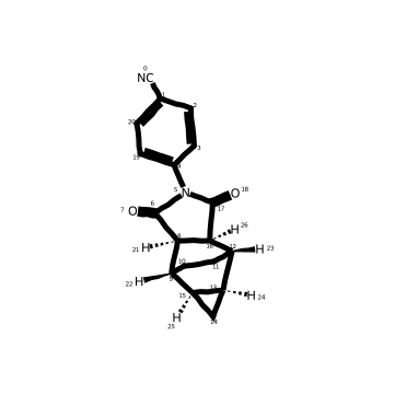 N#Cc1ccc(N2C(=O)[C@@H]3[C@@H]4CC[C@@H]([C@H]5C[C@H]54)[C@@H]3C2=O)cc1